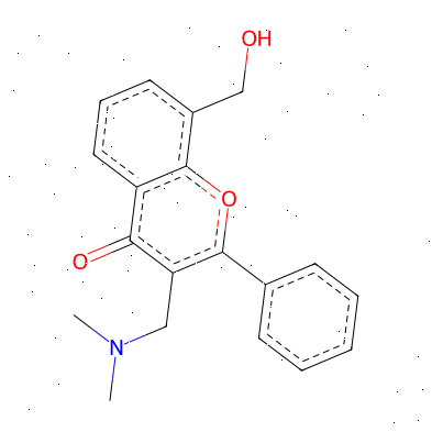 CN(C)Cc1c(-c2ccccc2)oc2c(CO)cccc2c1=O